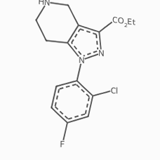 CCOC(=O)c1nn(-c2ccc(F)cc2Cl)c2c1CNCC2